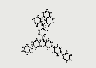 C1=CC(c2ccc(-c3ccc(N(C4=CC=C(N(c5ccccc5)C5CC=Cc6ccccc65)CC4)c4ccc(-c5ccccc5)cc4)cc3)cc2)=CCC1